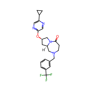 O=C1CCN(Cc2cccc(C(F)(F)F)c2)C[C@H]2C[C@@H](Oc3cnc(C4CC4)cn3)CN12